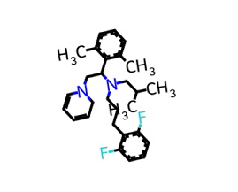 Cc1cccc(C)c1C(CN1C=CC=CC1)N(CCCc1c(F)cccc1F)CC(C)C